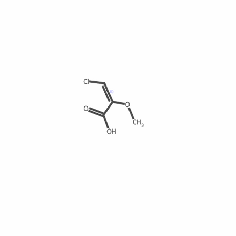 CO/C(=C/Cl)C(=O)O